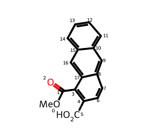 COC(=O)c1c(C(=O)O)ccc2cc3ccccc3cc12